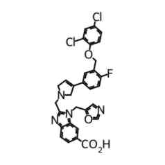 O=C(O)c1ccc2nc(CN3CC=C(c4ccc(F)c(COc5ccc(Cl)cc5Cl)c4)C3)n(Cc3cnco3)c2c1